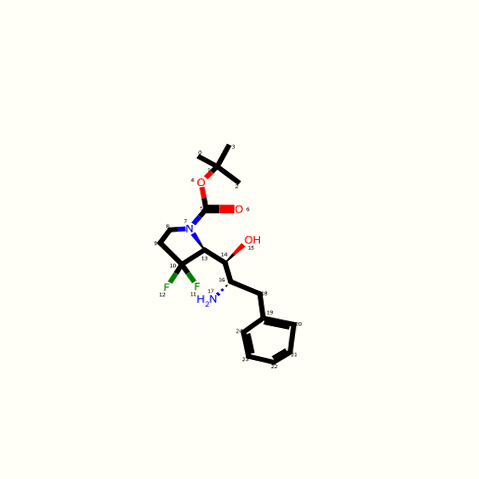 CC(C)(C)OC(=O)N1CCC(F)(F)[C@@H]1[C@@H](O)[C@@H](N)Cc1ccccc1